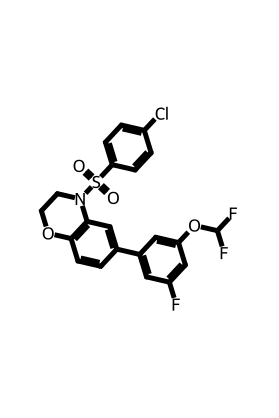 O=S(=O)(c1ccc(Cl)cc1)N1CCOc2ccc(-c3cc(F)cc(OC(F)F)c3)cc21